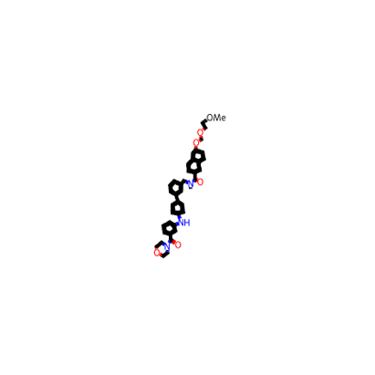 COCCOCOc1ccc2cc(C(=O)N(C)Cc3cccc(-c4ccc(Nc5cccc(C(=O)N6CCOCC6)c5)cc4)c3)ccc2c1